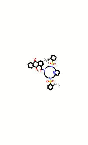 O=C1c2ccccc2C(=O)c2c1cccc2C(=O)N1CCCN(S(=O)(=O)c2ccccc2[N+](=O)[O-])Cc2cccc(n2)CN(S(=O)(=O)c2ccccc2[N+](=O)[O-])CC1